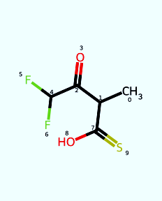 CC(C(=O)C(F)F)C(O)=S